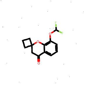 O=C1CC2(CCC2)Oc2c(OC(F)F)cccc21